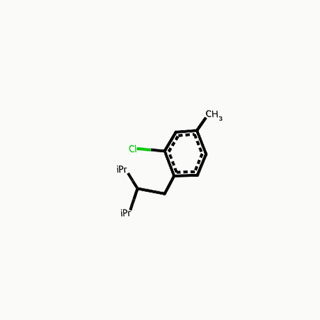 Cc1ccc(CC(C(C)C)C(C)C)c(Cl)c1